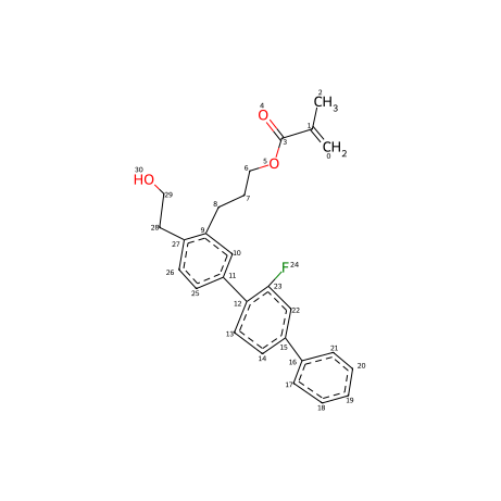 C=C(C)C(=O)OCCCc1cc(-c2ccc(-c3ccccc3)cc2F)ccc1CCO